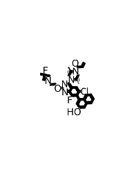 C=CC(=O)N1C[C@H](C)N(c2nc(OCCN3CC(C)(F)C3)nc3c(F)c(-c4cc(O)cc5ccccc45)c(Cl)cc23)C[C@H]1C